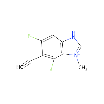 C#Cc1c(F)cc2[nH]c[n+](C)c2c1F